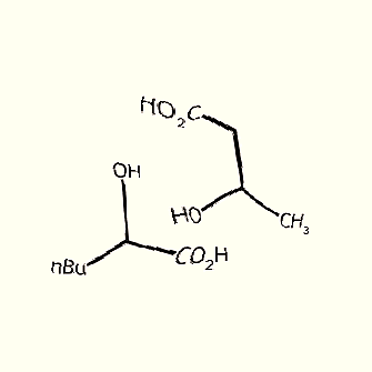 CC(O)CC(=O)O.CCCCC(O)C(=O)O